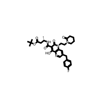 C[C@@H](CC(=O)OC(C)(C)C)NC(=O)c1c(O)c2ncc(Cc3ccc(F)cc3)cc2n(CCN2CCCCC2=O)c1=O